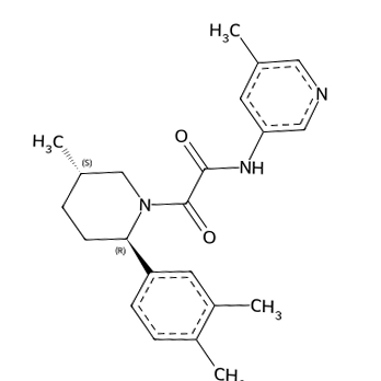 Cc1cncc(NC(=O)C(=O)N2C[C@@H](C)CC[C@@H]2c2ccc(C)c(C)c2)c1